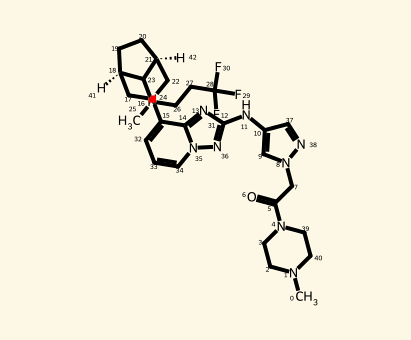 CN1CCN(C(=O)Cn2cc(Nc3nc4c(N5C[C@H]6CC[C@@H](C5)C6N(C)CCC(F)(F)F)cccn4n3)cn2)CC1